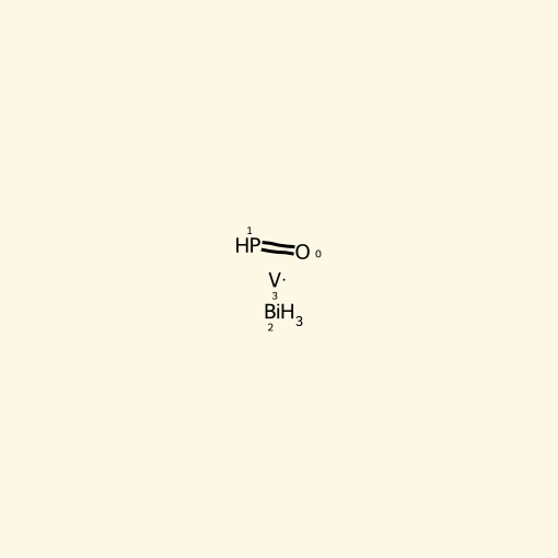 O=P.[BiH3].[V]